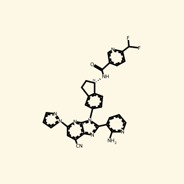 N#Cc1cc(-n2cccn2)nc2c1nc(-c1cccnc1N)n2-c1ccc2c(c1)CC[C@@H]2NC(=O)c1ccc(C(F)F)nc1